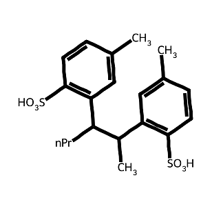 CCCC(c1cc(C)ccc1S(=O)(=O)O)C(C)c1cc(C)ccc1S(=O)(=O)O